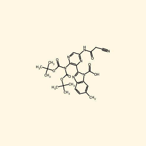 Cc1ccc2nc(-c3nc(NC(=O)CC#N)cnc3N(C(=O)OC(C)(C)C)C(=O)OC(C)(C)C)n(C(=O)O)c2c1